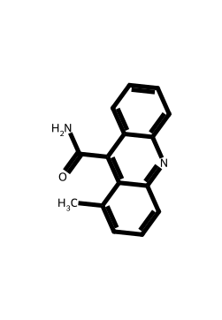 Cc1cccc2nc3ccccc3c(C(N)=O)c12